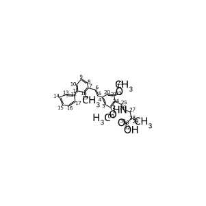 COc1cc(/C=C/c2cccc(-c3ccccc3)c2C)cc(OC)c1CNC[C@@H](C)C(=O)O